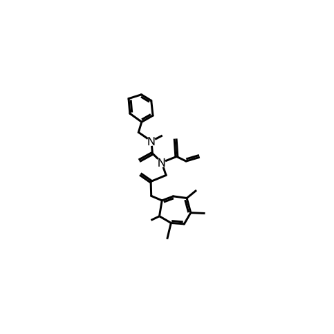 C=CC(=C)N(CC(=C)CC1=CC(C)=C(C)C=C(C)C1C)C(=C)N(C)Cc1ccccc1